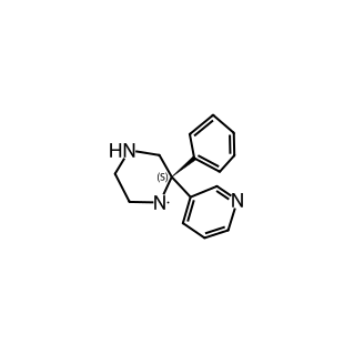 c1ccc([C@]2(c3cccnc3)CNCC[N]2)cc1